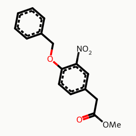 COC(=O)Cc1ccc(OCc2ccccc2)c([N+](=O)[O-])c1